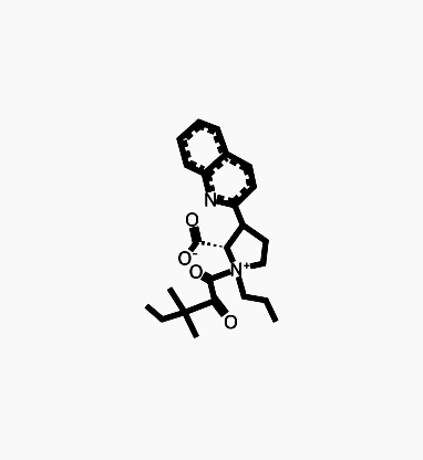 CCC[N+]1(C(=O)C(=O)C(C)(C)CC)CCC(c2ccc3ccccc3n2)[C@H]1C(=O)[O-]